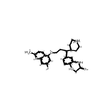 Cc1ccc2c(OCCC(c3ccc4c(c3)NC(=O)CO4)C3CCNCC3)cc(I)cc2n1